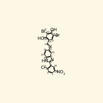 O=[N+]([O-])c1ccc(Cl)c(-c2nc3cc(/N=C/c4cc(Br)c(O)c(Br)c4O)ccc3[nH]2)c1